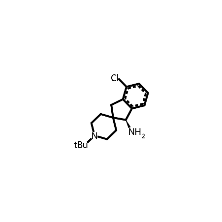 CC(C)(C)N1CCC2(CC1)Cc1c(Cl)cccc1[C@H]2N